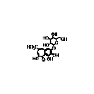 O=C(O)c1cc(O)c(=O)c2c(O)c(O)c(O[C@@H]3O[C@H](CO)[C@H](O)[C@H](O)[C@H]3O)cc2c1